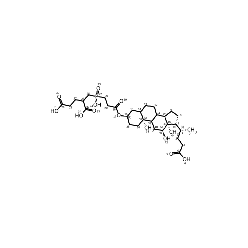 C[C@H](CCC(=O)O)[C@H]1CCC2C3CCC4C[C@H](OC(=O)CCP(=O)(O)CC(CCC(=O)O)C(=O)O)CC[C@]4(C)C3C[C@H](O)[C@@]21C